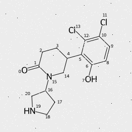 O=C1CCC(c2c(O)ccc(Cl)c2Cl)CN1C1CCNC1